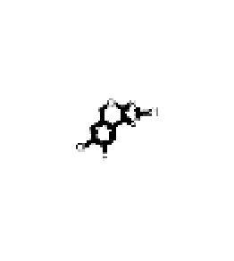 Fc1cc2c(cc1Cl)COc1nc(Cl)sc1-2